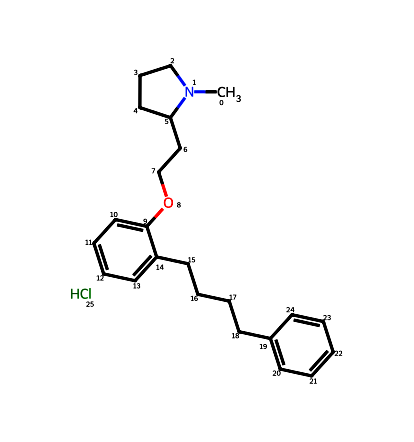 CN1CCCC1CCOc1ccccc1CCCCc1ccccc1.Cl